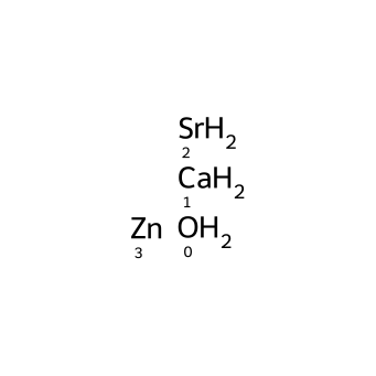 O.[CaH2].[SrH2].[Zn]